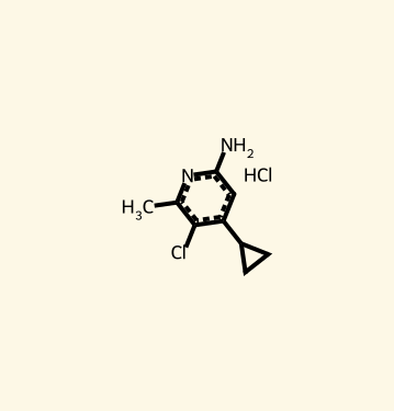 Cc1nc(N)cc(C2CC2)c1Cl.Cl